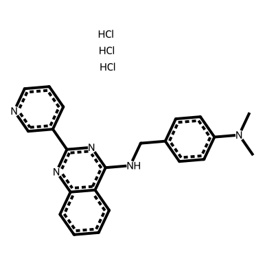 CN(C)c1ccc(CNc2nc(-c3cccnc3)nc3ccccc23)cc1.Cl.Cl.Cl